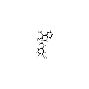 CC(C(O)c1ccccc1)N(C)C(=O)Cc1ccc(F)c(C(F)(F)F)c1